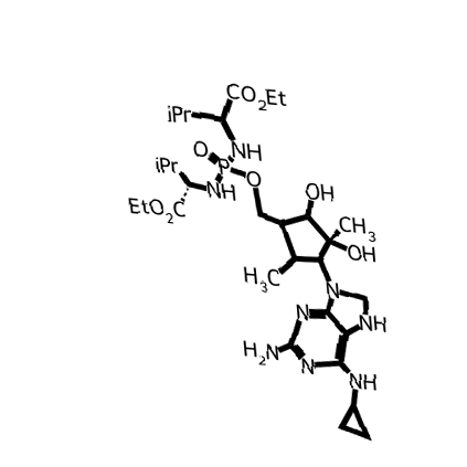 CCOC(=O)C(NP(=O)(N[C@H](C(=O)OCC)C(C)C)OCC1C(C)C(N2CNc3c(NC4CC4)nc(N)nc32)[C@@](C)(O)C1O)C(C)C